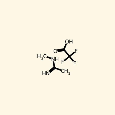 CNC(C)=N.O=C(O)C(F)(F)F